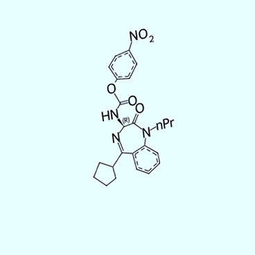 CCCN1C(=O)[C@H](NC(=O)Oc2ccc([N+](=O)[O-])cc2)N=C(C2CCCC2)c2ccccc21